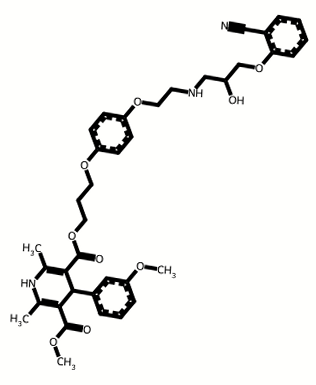 COC(=O)C1=C(C)NC(C)=C(C(=O)OCCCOc2ccc(OCCNCC(O)COc3ccccc3C#N)cc2)C1c1cccc(OC)c1